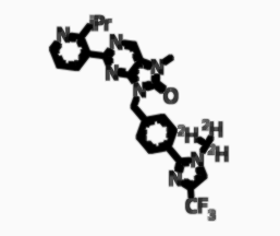 [2H]C([2H])([2H])n1cc(C(F)(F)F)nc1-c1ccc(Cn2c(=O)n(C)c3cnc(-c4cccnc4C(C)C)nc32)cc1